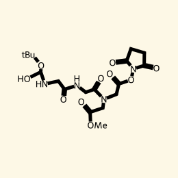 COC(=O)CN(CC(=O)ON1C(=O)CCC1=O)C(=O)CNC(=O)CNC(O)OC(C)(C)C